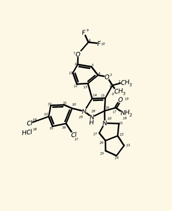 CC1(C)Oc2cc(OC(F)F)ccc2C2=C1C(C(N)=O)(N1CC3CCCC3C1)NN2c1ccc(Cl)cc1Cl.Cl